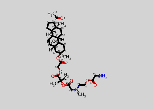 CC(=O)[C@H]1CC[C@H]2[C@@H]3CC[C@H]4C[C@](C)(OC(=O)COC(=O)C(C)(C)OC(=O)CN(C)CCOC(=O)CN)CC[C@]4(C)[C@H]3CC[C@]12C